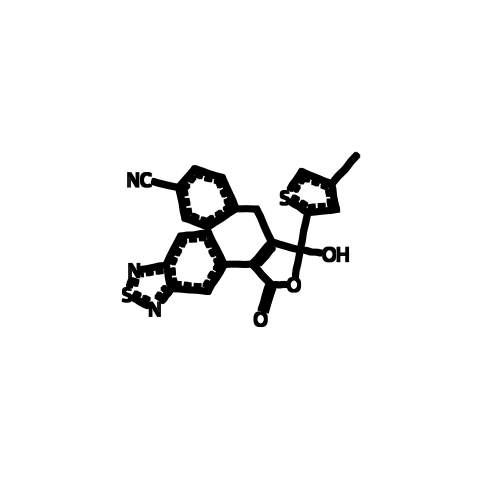 Cc1csc(C2(O)OC(=O)C(c3ccc4nsnc4c3)=C2Cc2ccc(C#N)cc2)c1